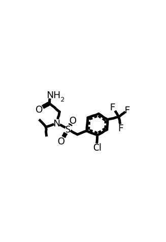 CC(C)N(CC(N)=O)S(=O)(=O)Cc1ccc(C(F)(F)F)cc1Cl